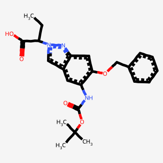 CCC(C(=O)O)n1cc2cc(NC(=O)OC(C)(C)C)c(OCc3ccccc3)cc2n1